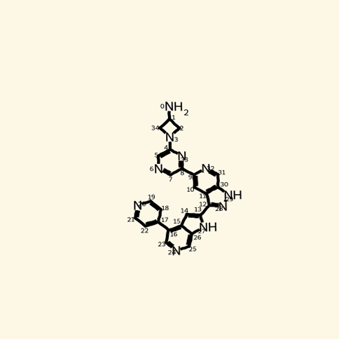 NC1CN(c2cncc(-c3cc4c(-c5cc6c(-c7ccncc7)cncc6[nH]5)n[nH]c4cn3)n2)C1